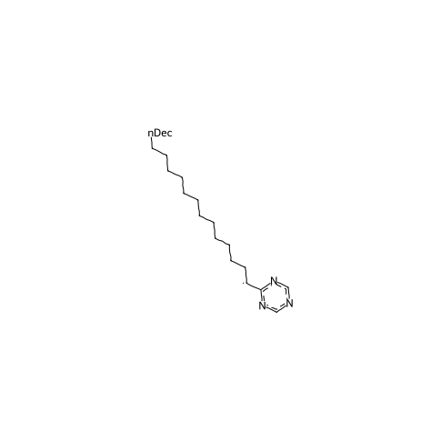 CCCCCCCCCCCCCCCCCCCCCC[CH]c1ncncn1